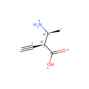 C#C[C@H](C(=O)O)[C@H](C)N